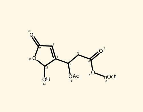 CCCCCCCCOC(=O)CC(OC(C)=O)C1=CC(=O)OC1O